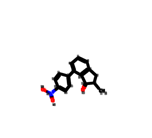 CC1Cc2cccc(-c3ccc([N+](=O)[O-])cc3)c2C1=O